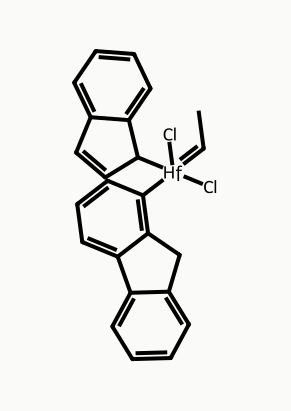 C[CH]=[Hf]([Cl])([Cl])([c]1cccc2c1Cc1ccccc1-2)[CH]1C=Cc2ccccc21